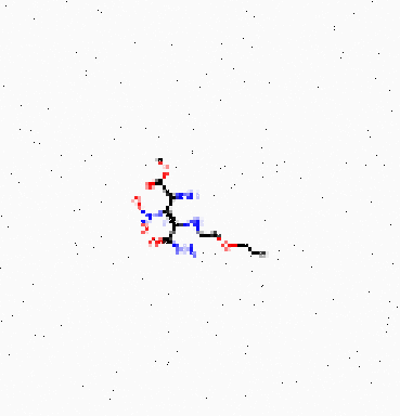 CCCOCCN/C(C(N)=O)=C(\C(=N)C(=O)OC)[N+](=O)[O-]